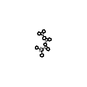 c1ccc(-c2cc(-n3c4ccccc4c4cc(-n5c6ccccc6c6cc(-n7c8ccccc8c8ccccc87)ccc65)ccc43)nc(-c3ccccc3)n2)cc1